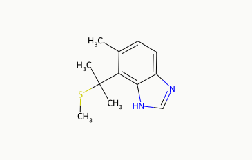 CSC(C)(C)c1c(C)ccc2nc[nH]c12